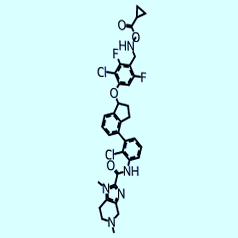 CN1CCc2c(nc(C(=O)Nc3cccc(-c4cccc5c4CCC5Oc4cc(F)c(CNOC(=O)C5CC5)c(F)c4Cl)c3Cl)n2C)C1